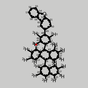 [2H]c1c([2H])c(-c2c3c([2H])c([2H])c([2H])c([2H])c3c(-c3c([2H])c([2H])c([2H])c4c([2H])c([2H])c([2H])c([2H])c34)c3c([2H])c([2H])c([2H])c([2H])c23)c([2H])c([2H])c1-c1ccc2oc3ccccc3c2c1